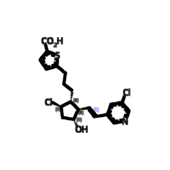 O=C(O)c1ccc(CCC[C@@H]2[C@@H](/C=C/c3cncc(Cl)c3)[C@H](O)C[C@H]2Cl)s1